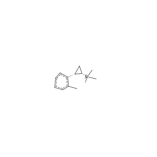 Cc1ccccc1[C@@H]1C[C@@H]1[Si](C)(C)C